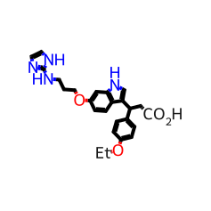 CCOc1ccc(C(CC(=O)O)c2c[nH]c3cc(OCCCNc4ncc[nH]4)ccc23)cc1